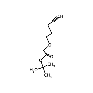 C#CCCCOCC(=O)OC(C)(C)C